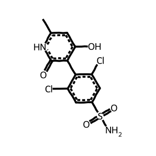 Cc1cc(O)c(-c2c(Cl)cc(S(N)(=O)=O)cc2Cl)c(=O)[nH]1